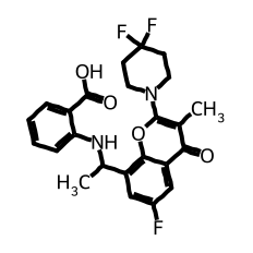 Cc1c(N2CCC(F)(F)CC2)oc2c(C(C)Nc3ccccc3C(=O)O)cc(F)cc2c1=O